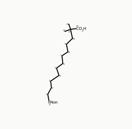 CCCCCCCCCCCCCCCCCCCC(C)(C)C(=O)O